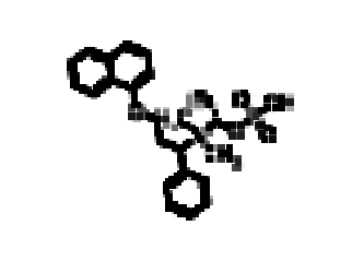 CC(C)(C)[C@H](OP(=O)([O-])O)[N+](C)(C)C(CCOc1cccc2ccccc12)c1ccccc1